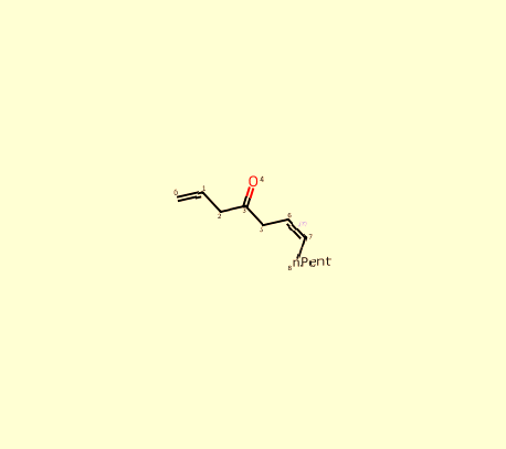 C=CCC(=O)C/C=C\CCCCC